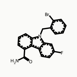 NC(=O)c1cccc2c1c1[c]cc(F)cc1n2Cc1ccccc1Br